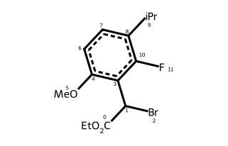 CCOC(=O)C(Br)c1c(OC)ccc(C(C)C)c1F